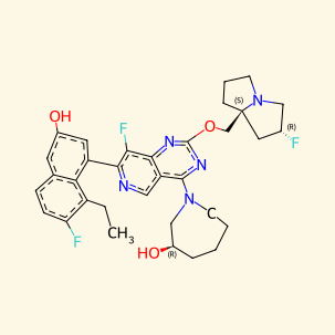 CCc1c(F)ccc2cc(O)cc(-c3ncc4c(N5CCCC[C@@H](O)C5)nc(OC[C@@]56CCCN5C[C@H](F)C6)nc4c3F)c12